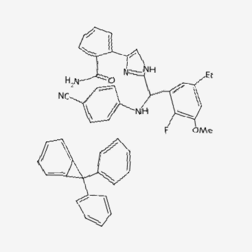 CCc1cc(OC)c(F)c(C(Nc2ccc(C#N)cc2)c2nc(-c3ccccc3C(N)=O)c[nH]2)c1.c1ccc(C2(c3ccccc3)c3ccccc32)cc1